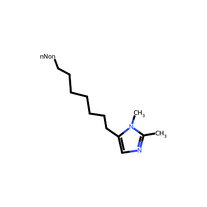 CCCCCCCCCCCCCCCCc1cnc(C)n1C